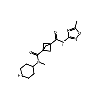 Cc1nc(NC(=O)C23CC(C(=O)N(C)C4CCNCC4)(C2)C3)no1